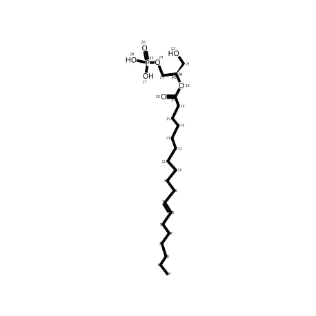 CCCCCCC=CCCCCCCCCCC(=O)O[C@H](CO)COP(=O)(O)O